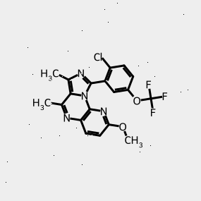 COc1ccc2nc(C)c3c(C)nc(-c4cc(OC(F)(F)F)ccc4Cl)n3c2n1